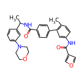 Cc1ccc(NC(=O)c2ccoc2)cc1-c1ccc(C(=O)NC(C)c2cccc(N3CCOCC3)c2)cc1